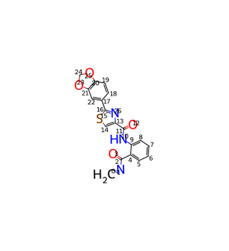 C=NC(=O)c1ccccc1NC(=O)c1csc(-c2ccc3c(c2)OCO3)n1